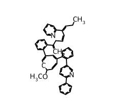 C=C(C/C=C\C(=C/CC)c1ccccn1)c1ccccc1C1=C/CC(OC)C=C/C(c2ccccc2-c2ccc(-c3ccccc3)nc2)=C\1